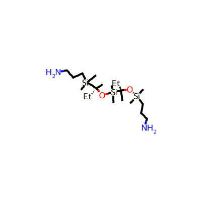 CC[C@](C)(O[Si](C)(C)[C@](C)(CC)O[Si](C)(C)CCCN)[Si](C)(C)CCCN